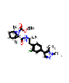 Cc1c(-c2ccc(C[C@@H](C#N)NC(=O)[C@@H]3[C@H]4CC[C@H](C4)N3C(=O)OC(C)(C)C)c(F)c2)cnn1C